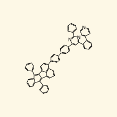 c1ccc(-c2nc(-c3ccc(-c4ccc(-c5ccc6c7c(cccc57)-c5c-6c(-c6ccccc6)c6ccccc6c5-c5ccccc5)cc4)cc3)cc(-c3ccccc3-c3ccncc3)n2)cc1